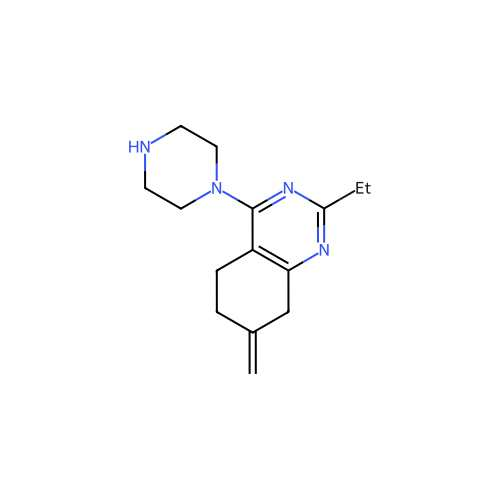 C=C1CCc2c(nc(CC)nc2N2CCNCC2)C1